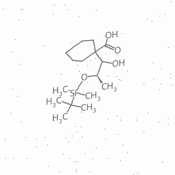 C[C@@H](O[Si](C)(C)C(C)(C)C)C(O)C1(C(=O)O)CCCCC1